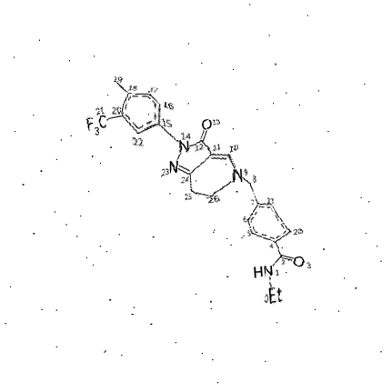 CCNC(=O)c1ccc(CN2C=C3C(=O)N(c4ccc(C)c(C(F)(F)F)c4)N=C3CC2)cc1